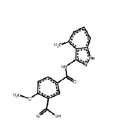 COc1ccc(C(=O)Nc2n[nH]c3cccc(C)c23)cc1C(=O)O